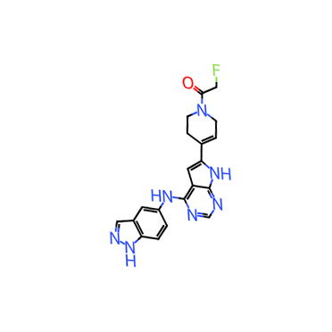 O=C(CF)N1CC=C(c2cc3c(Nc4ccc5[nH]ncc5c4)ncnc3[nH]2)CC1